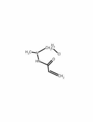 C=CC(=O)NN(C)C.CCl